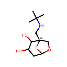 CC(C)(C)NC[C@]12COC(CC(O)C1O)O2